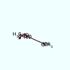 CCCN(CCc1cccs1)[C@H]1CCc2c(cccc2OC(=O)CCNC(=O)CCCCCCCCCCCCCCCCCCC(=O)NCC)C1